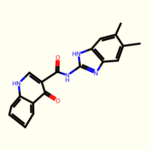 Cc1cc2nc(NC(=O)c3c[nH]c4ccccc4c3=O)[nH]c2cc1C